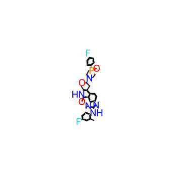 Cc1cc(F)ccc1Nc1nc2ccc3c(CC(=O)N4CCP(=O)(c5ccc(F)cc5)CC4)c(C)[nH]c(=O)c3c2n1C